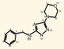 c1ccc(CNC2=NC(N3CCOCC3)=N[N]2)cc1